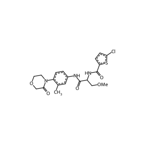 COCC(NC(=O)c1ccc(Cl)s1)C(=O)Nc1ccc(N2CCOCC2=O)c(C)c1